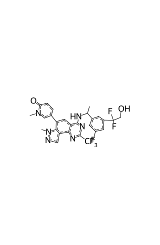 CC(Nc1nc(C(F)(F)F)nc2c1cc(-c1ccc(=O)n(C)c1)c1c2cnn1C)c1cc(F)cc(C(F)(F)CO)c1